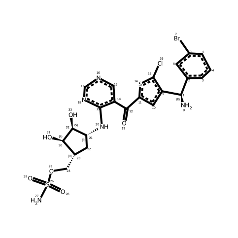 N[C@H](c1cccc(Br)c1)c1cc(C(=O)c2cncnc2N[C@@H]2C[C@H](COS(N)(=O)=O)[C@@H](O)[C@H]2O)sc1Cl